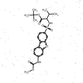 COC(=O)Nc1ccc2c(c1)oc1cc(S(=O)(=O)NC(C(=O)OC(C)(C)C)C(C)C)ccc12